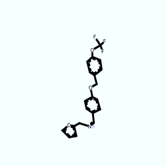 FC(F)(F)Oc1ccc(COc2ccc(/C=N\Cc3ccco3)cc2)cc1